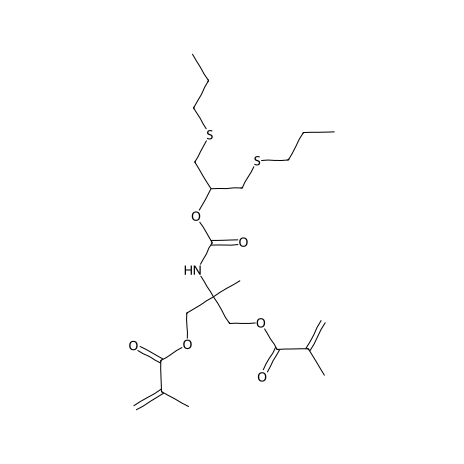 C=C(C)C(=O)OCC(C)(COC(=O)C(=C)C)NC(=O)OC(CSCCC)CSCCC